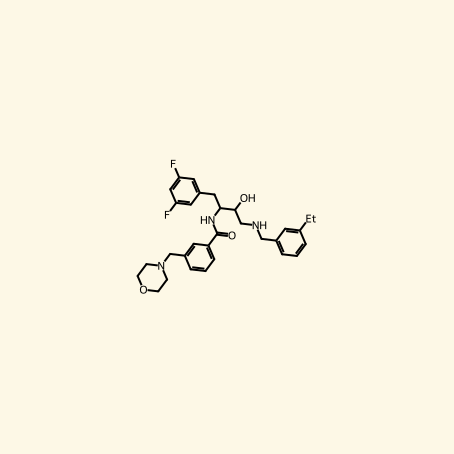 CCc1cccc(CNCC(O)C(Cc2cc(F)cc(F)c2)NC(=O)c2cccc(CN3CCOCC3)c2)c1